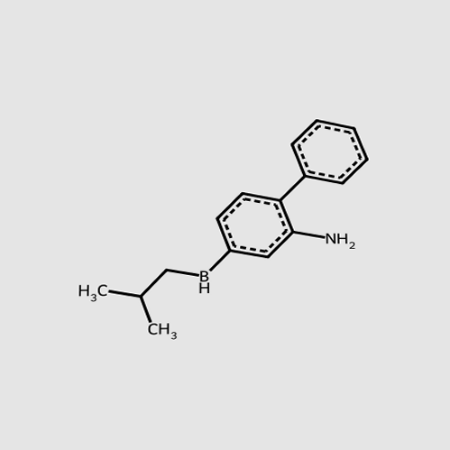 CC(C)CBc1ccc(-c2ccccc2)c(N)c1